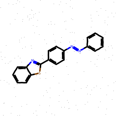 c1ccc(N=Nc2ccc(-c3nc4ccccc4s3)cc2)cc1